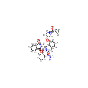 CNC(=O)[C@@H]1CCCCC1C(=O)N1CCc2cccc(OC3CCN(C(=O)C4CC4)C3)c2[C@H]1CN1C(=O)c2ccccc2C1=O